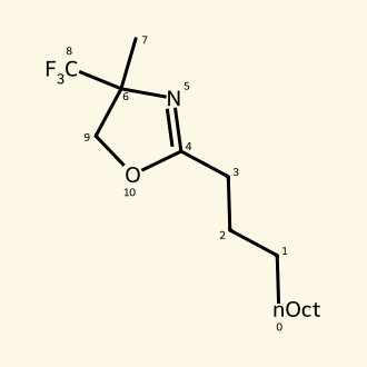 CCCCCCCCCCCC1=NC(C)(C(F)(F)F)CO1